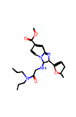 CCCN(CCC)C(=O)CNC1C(C2=CCC(C)O2)N=C2C=C(C(=O)OC)C=CN21